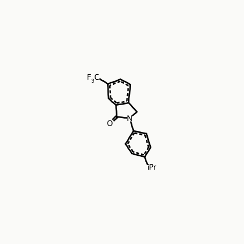 CC(C)c1ccc(N2Cc3ccc(C(F)(F)F)cc3C2=O)cc1